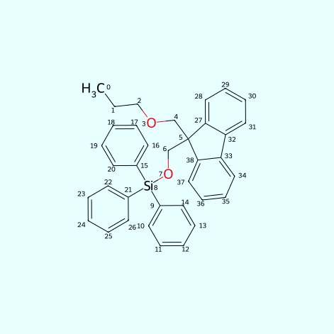 CCCOCC1(CO[Si](c2ccccc2)(c2ccccc2)c2ccccc2)c2ccccc2-c2ccccc21